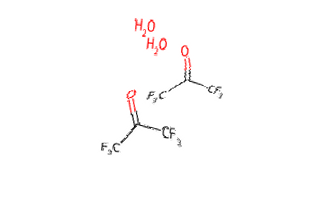 O.O.O=C(C(F)(F)F)C(F)(F)F.O=C(C(F)(F)F)C(F)(F)F